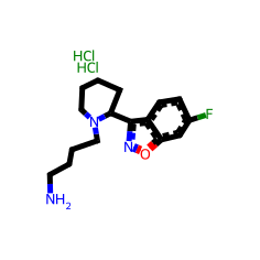 Cl.Cl.NCCCCN1CCCCC1c1noc2cc(F)ccc12